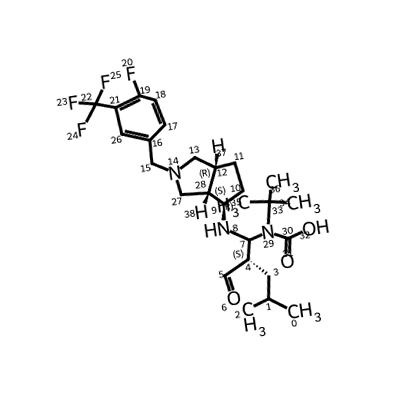 CC(C)C[C@H](C=O)C(N[C@@H]1CC[C@H]2CN(Cc3ccc(F)c(C(F)(F)F)c3)C[C@H]21)N(C(=O)O)C(C)(C)C